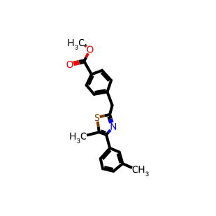 COC(=O)c1ccc(Cc2nc(-c3cccc(C)c3)c(C)s2)cc1